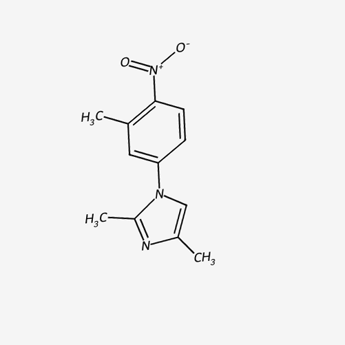 Cc1cn(-c2ccc([N+](=O)[O-])c(C)c2)c(C)n1